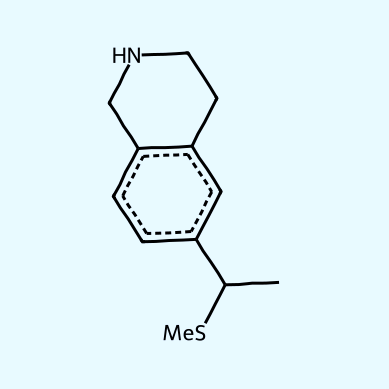 CSC(C)c1ccc2c(c1)CCNC2